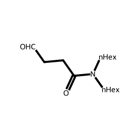 CCCCCCN(CCCCCC)C(=O)CCC=O